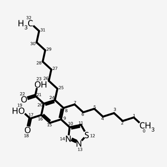 CCCCCCCCc1c(-c2csnn2)cc(C(=O)O)c(C(=O)O)c1CCCCCCCC